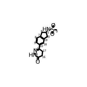 CS(=O)(=O)NC1Cc2ccc(C3=NNC(=O)CC3)cc2C1